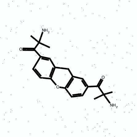 CC(C)(N)C(=O)c1ccc2c(c1)Cc1cc(C(=O)C(C)(C)N)ccc1O2